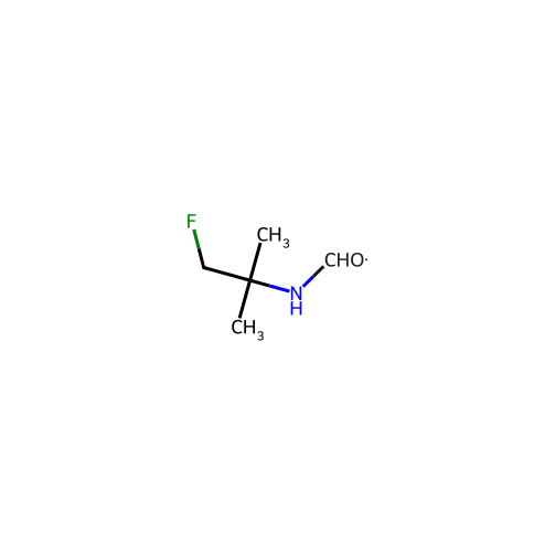 CC(C)(CF)N[C]=O